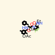 CCNC(=O)[C@H]1N(C(=O)[C@@H](OC(C)=O)[C@H](Cc2ccccc2)NC(=O)c2cc(C)cc(OC(C)=O)c2C)CC(F)(F)C1(C)C